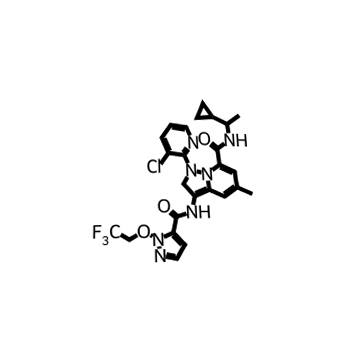 CC1=CC2=C(NC(=O)c3ccnn3OCC(F)(F)F)CN(c3ncccc3Cl)N2C(C(=O)NC(C)C2CC2)=C1